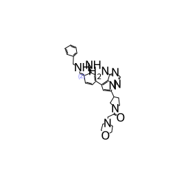 N=C1C=C(c2cc(C3CCN(C(=O)CN4CCOCC4)C3)n3ncnc(N)c23)C=C/C1=C/NCc1ccccc1